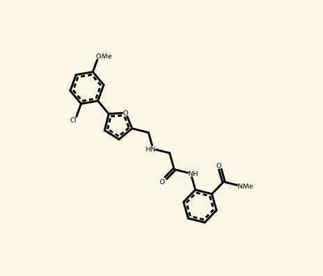 CNC(=O)c1ccccc1NC(=O)CNCc1ccc(-c2cc(OC)ccc2Cl)o1